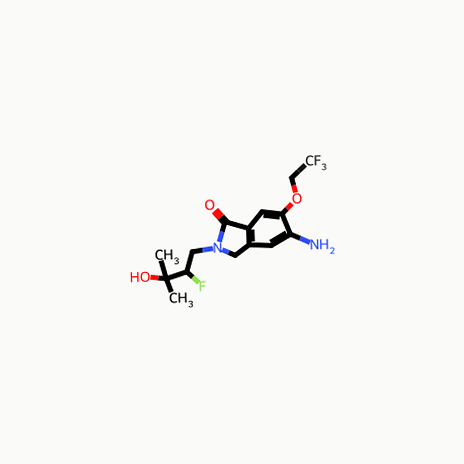 CC(C)(O)C(F)CN1Cc2cc(N)c(OCC(F)(F)F)cc2C1=O